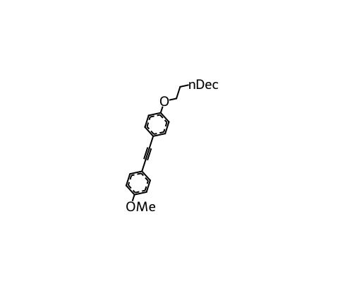 CCCCCCCCCCCCOc1ccc(C#Cc2ccc(OC)cc2)cc1